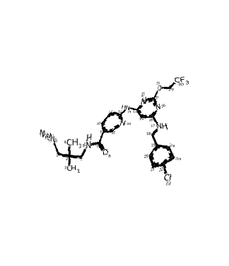 CNCC(C)(C)CNC(=O)c1ccc(Nc2cc(NCc3ccc(Cl)cc3)nc(OCC(F)(F)F)n2)nc1